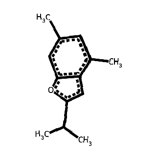 Cc1cc(C)c2cc(C(C)C)oc2c1